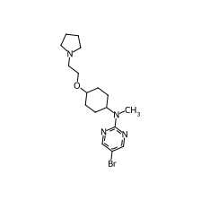 CN(c1ncc(Br)cn1)C1CCC(OCCN2CCCC2)CC1